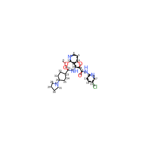 COc1nccc2oc(C(=O)Nc3ccc(Cl)cn3)c(NC(=O)C3CCC(N4CCCC4)CC3)c12